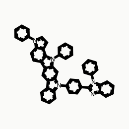 c1ccc(-n2ccc3c2ccc2c4cc5c6ccccc6n(-c6ccc(-c7nc8ccccc8n7-c7ccccc7)cc6)c5cc4n(-c4ccccc4)c23)cc1